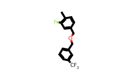 Cc1ccc(COCc2cccc(C(F)(F)F)c2)cc1F